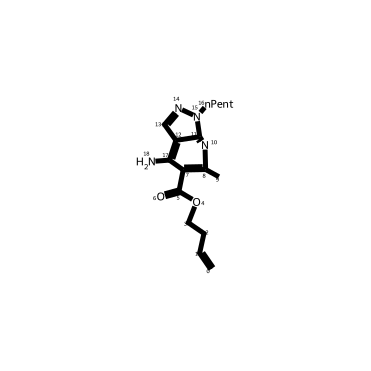 C=CCCOC(=O)c1c(C)nc2c(cnn2CCCCC)c1N